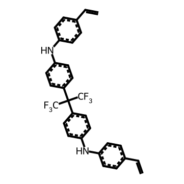 C=Cc1ccc(Nc2ccc(C(c3ccc(Nc4ccc(C=C)cc4)cc3)(C(F)(F)F)C(F)(F)F)cc2)cc1